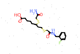 NC(=O)CSC(CCCCC(=O)O)CCSCC(=O)NCc1ccccc1F